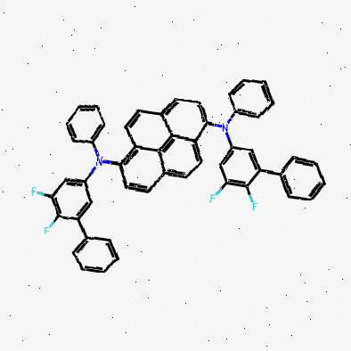 Fc1cc(N(c2ccccc2)c2ccc3ccc4c(N(c5ccccc5)c5cc(F)c(F)c(-c6ccccc6)c5)ccc5ccc2c3c54)cc(-c2ccccc2)c1F